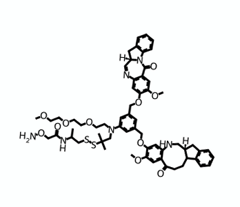 COCCOCCOCCN(CC(C)(C)SSCC(C)NC(=O)CON)c1cc(COc2cc3c(cc2OC)C(=O)N2c4ccccc4C[C@H]2C=N3)cc(COc2cc3c(cc2OC)C(=O)CCC2c4ccccc4C[C@H]2CN3)c1